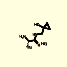 CC(C)(C)[C@H](N)C(=O)NCC1(O)CC1.Cl